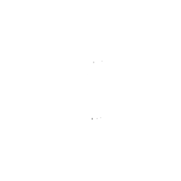 CCCCCCCCCCS(=O)(=O)CCCCCCC